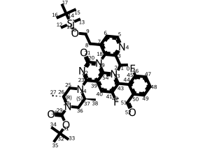 CC(C)c1nccc(CCO[Si](C)(C)C(C)(C)C)c1-n1c(=O)nc(N2C[C@@H](C)N(C(=O)OC(C)(C)C)C[C@@H]2C)c2cc(F)c(-c3c(F)cccc3C=O)nc21